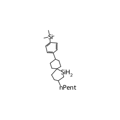 CCCCCC1CCC2(CCC(c3ccc([Si](C)(C)C)cc3)CC2)[SiH2]C1